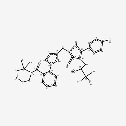 CC1(C)COCCN1C(=O)c1ccccc1-n1cnc(Cn2nc(-c3ccc(Cl)cc3)n(CC(O)C(F)(F)F)c2=O)n1